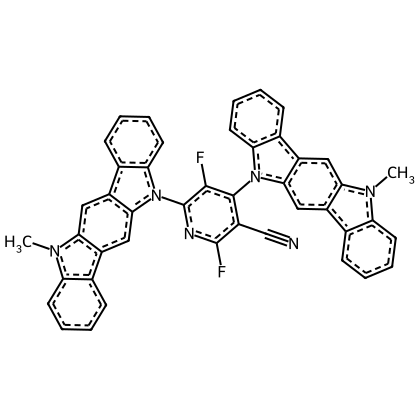 Cn1c2ccccc2c2cc3c(cc21)c1ccccc1n3-c1nc(F)c(C#N)c(-n2c3ccccc3c3cc4c(cc32)c2ccccc2n4C)c1F